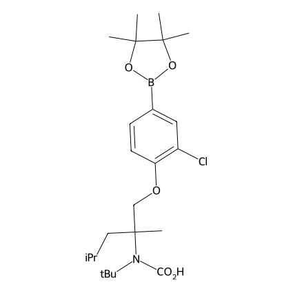 CC(C)CC(C)(COc1ccc(B2OC(C)(C)C(C)(C)O2)cc1Cl)N(C(=O)O)C(C)(C)C